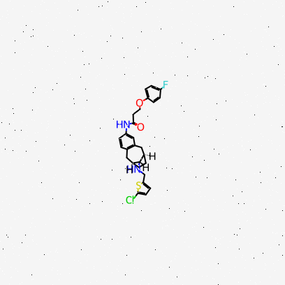 O=C(CCOc1ccc(F)cc1)Nc1ccc2c(c1)C[C@H]1CC[C@@H](C2)[C@H]1NCc1ccc(Cl)s1